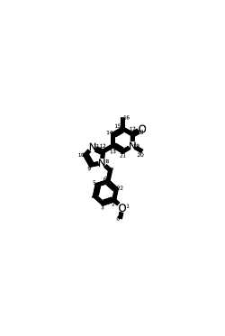 COc1cccc(Cn2ccnc2-c2cc(C)c(=O)n(C)c2)c1